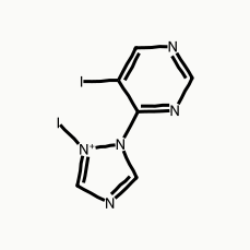 Ic1cncnc1-n1cnc[n+]1I